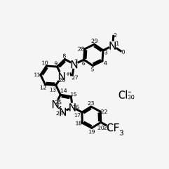 CN(C)c1ccc(-n2cc3cccc(-c4cn(-c5ccc(C(F)(F)F)cc5)nn4)[n+]3c2)cc1.[Cl-]